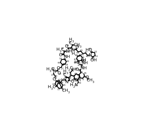 C=CCC(c1cnn(CC23CC4(C)CC(C)(C2)CC(OCCN(C)C(=O)OCC2=CC[C@@H](NC(=O)[C@H](C)NC(=O)[C@@H](NC(=O)CCCCCN5[C@H](O)CC[C@@H]5O)C(C)C)CC2)(C4)C3)c1C)C(CC1=C(CCN)C[C@@H](OC)C[C@H]1[C@H](O)N[C@@H]1N[C@@H]2CC=CC[C@@H]2S1)C(=O)O